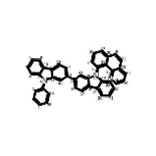 c1ccc(-n2c3ccccc3c3ccc(-c4ccc5c6ccccc6n(-c6cccc7ccc8cccnc8c67)c5c4)cc32)cc1